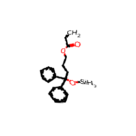 C=CC(=O)OCCCC(O[SiH3])(c1ccccc1)c1ccccc1